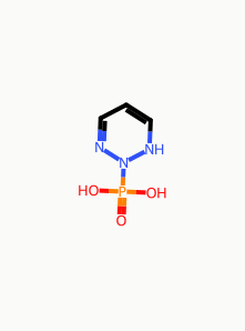 O=P(O)(O)N1N=CC=CN1